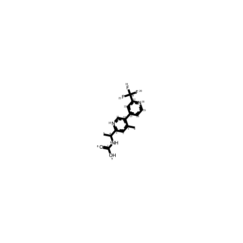 Cc1cc(C(C)NC(=O)O)ncc1-c1ccnc(C(F)(F)F)c1